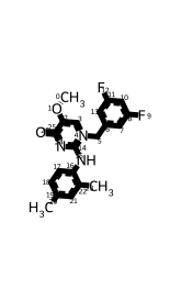 COc1cn(Cc2cc(F)cc(F)c2)c(Nc2ccc(C)cc2C)nc1=O